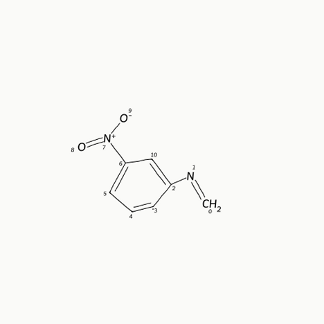 C=Nc1[c]ccc([N+](=O)[O-])c1